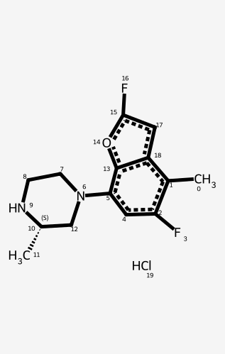 Cc1c(F)cc(N2CCN[C@@H](C)C2)c2oc(F)cc12.Cl